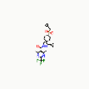 Cc1nc(C(F)(F)F)nc(C)c1C(=O)NCC1(CC2CC2)CCC(S(=O)(=O)CC2CC2)CC1